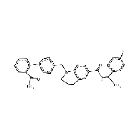 CC(NC(=O)c1ccc2c(c1)CCCN2Cc1ccc(-c2ccccc2C(N)=O)cc1)c1ccc(F)cc1